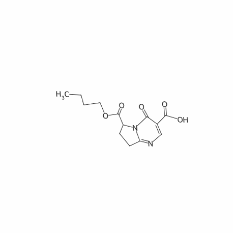 CCCCOC(=O)C1CCc2ncc(C(=O)O)c(=O)n21